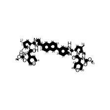 COC(=O)N[C@H](C(=O)N1[C@H](C)[C@H](C)C[C@H]1c1ncc(-c2ccc3cc(-c4ccc5nc([C@@H]6C[C@@H](C)[C@@H](C)N6C(=O)[C@@H](NC(=O)OC)C6CCOCC6)[nH]c5c4)ccc3c2)[nH]1)C1CCOCC1